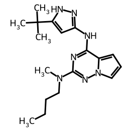 CCCCN(C)c1nc(Nc2cc(C(C)(C)C)[nH]n2)c2cccn2n1